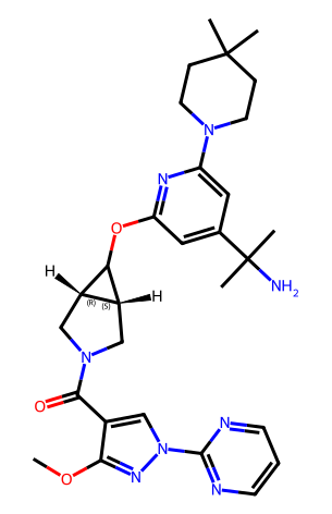 COc1nn(-c2ncccn2)cc1C(=O)N1C[C@@H]2C(Oc3cc(C(C)(C)N)cc(N4CCC(C)(C)CC4)n3)[C@@H]2C1